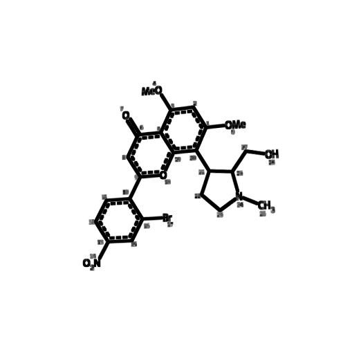 COc1cc(OC)c2c(=O)cc(-c3ccc([N+](=O)[O-])cc3Br)oc2c1C1CCN(C)C1CO